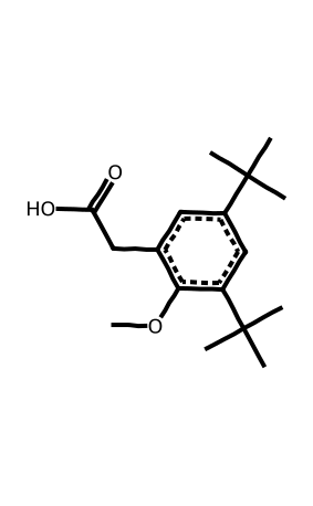 COc1c(CC(=O)O)cc(C(C)(C)C)cc1C(C)(C)C